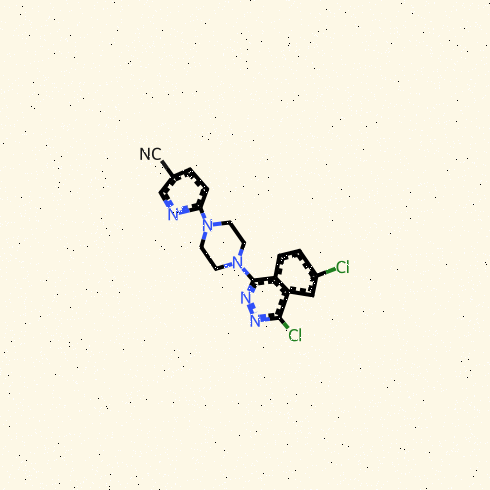 N#Cc1ccc(N2CCN(c3nnc(Cl)c4cc(Cl)ccc34)CC2)nc1